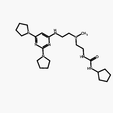 CN(CCNC(=O)NC1CCCC1)CCNc1cc(N2CCCC2)nc(N2CCCC2)n1